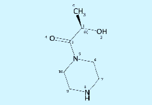 C[C@@H](O)C(=O)N1CCNCC1